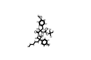 CCCCCC1(c2ccc(F)cc2)CN(C(=O)[C@](I)(Cc2ccc(OC)cc2)NC(=O)OC(C)(C)C)C1